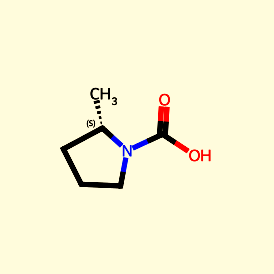 C[C@H]1CCCN1C(=O)O